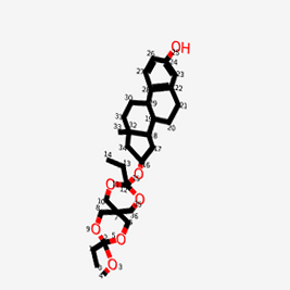 CCC1(OC)OCC2(CO1)COC(CC)(OC1CC3C4CCc5cc(O)ccc5C4CCC3(C)C1)OC2